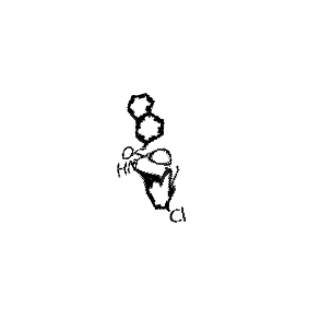 O=S(=O)(Nc1ccc(Cl)cn1)c1ccc2ccccc2c1